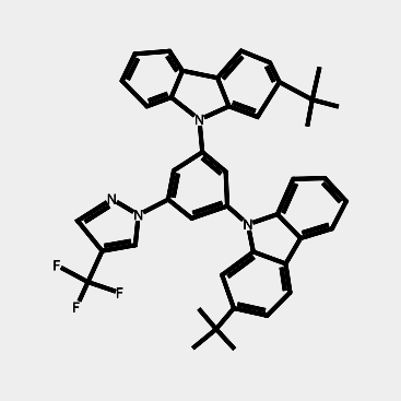 CC(C)(C)c1ccc2c3ccccc3n(-c3cc(-n4cc(C(F)(F)F)cn4)cc(-n4c5ccccc5c5ccc(C(C)(C)C)cc54)c3)c2c1